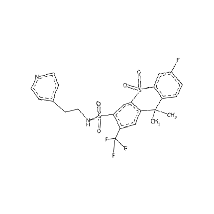 CC1(C)c2ccc(F)cc2S(=O)(=O)c2cc(S(=O)(=O)NCCc3ccncc3)c(C(F)(F)F)cc21